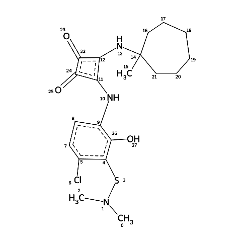 CN(C)Sc1c(Cl)ccc(Nc2c(NC3(C)CCCCCC3)c(=O)c2=O)c1O